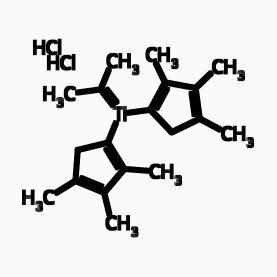 CC1=C(C)C(C)=[C]([Ti]([C]2=C(C)C(C)=C(C)C2)=[C](C)C)C1.Cl.Cl